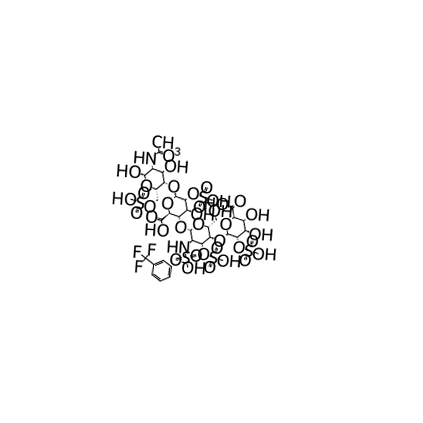 CC(=O)N[C@@H]1[C@@H](O)[C@H](O[C@@H]2O[C@H](C(=O)O)[C@@H](O[C@@H]3O[C@H](CO)[C@@H](O[C@H]4O[C@@H](C(=O)O)[C@H](O)[C@@H](O)[C@@H]4OS(=O)(=O)O)[C@H](OS(=O)(=O)O)[C@H]3NS(=O)(=O)O)[C@H](O)[C@H]2OS(=O)(=O)O)[C@H](COS(=O)(=O)O)O[C@H]1O.FC(F)(F)c1ccccc1